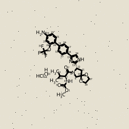 COC(=O)N[C@H](C(=O)N1CC2(C[C@H]1c1nc(-c3ccc(-c4ccc(N)cc4OC(F)(F)F)cc3)c[nH]1)OCCO2)C(C)C.Cl.Cl